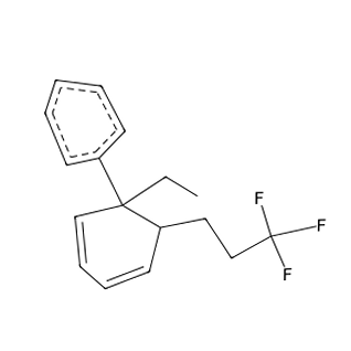 CCC1(c2ccccc2)C=CC=CC1CCC(F)(F)F